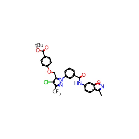 Cc1noc2cc(NC(=O)c3cccc(-n4nc(C(F)(F)F)c(Cl)c4COc4ccc(C(=O)OC(C)(C)C)cc4)c3)ccc12